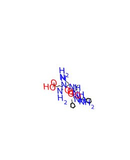 CC(C)C[C@@H](NC(=O)[C@@H](Cc1ccccc1)NC(=O)[C@H](N)Cc1ccccc1)C(=O)N[C@H](CCCN)C(=O)N[C@@H](CN)CCC(=O)O